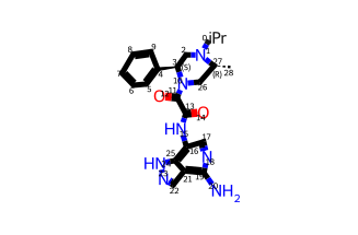 CC(C)N1C[C@H](c2ccccc2)N(C(=O)C(=O)Nc2cnc(N)c3cn[nH]c23)C[C@H]1C